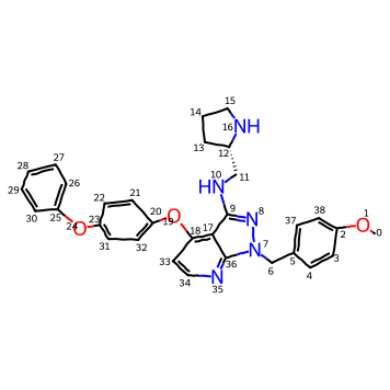 COc1ccc(Cn2nc(NC[C@@H]3CCCN3)c3c(Oc4ccc(Oc5ccccc5)cc4)ccnc32)cc1